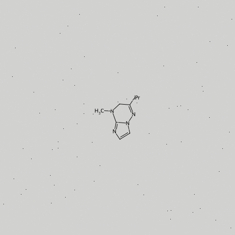 CC(C)C1=Nn2ccnc2N(C)C1